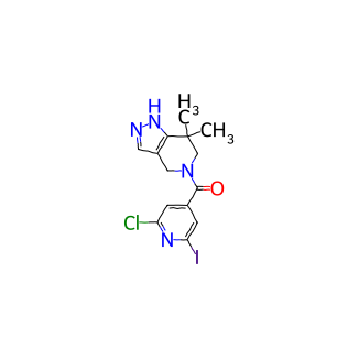 CC1(C)CN(C(=O)c2cc(Cl)nc(I)c2)Cc2cn[nH]c21